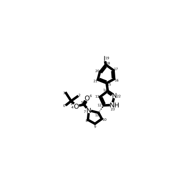 CC(C)(C)OC(=O)N1CCC[C@H]1c1cc(-c2ccc(I)cc2)n[nH]1